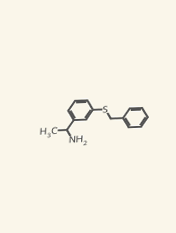 CC(N)c1cccc(SCc2ccccc2)c1